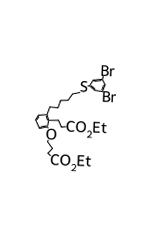 CCOC(=O)CCCOc1cccc(CCCCCCSc2cc(Br)cc(Br)c2)c1CCC(=O)OCC